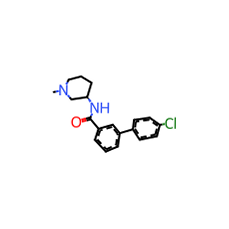 CN1CCC[C@@H](NC(=O)c2cccc(-c3ccc(Cl)cc3)c2)C1